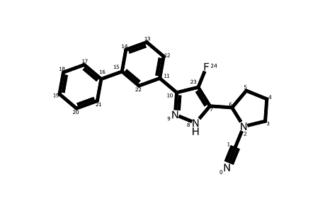 N#CN1CCCC1c1[nH]nc(-c2cccc(-c3ccccc3)c2)c1F